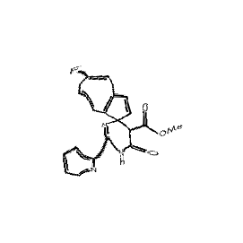 COC(=O)C1C(=O)NC(c2ccccn2)=NC12C=Cc1cc(F)ccc12